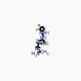 CC(C)n1cc(-c2cnc3c(NCc4nc5c(F)c(F)ccc5[nH]4)cc(Cl)nn23)cn1